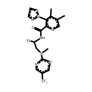 CCC(CN(C)c1ncc(C(F)(F)F)cn1)NC(=O)c1ncc(C)c(C)c1-n1nccn1